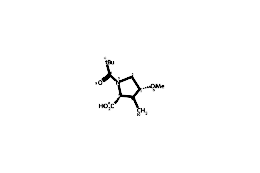 CO[C@H]1CN(C(=O)C(C)(C)C)[C@H](C(=O)O)C1C